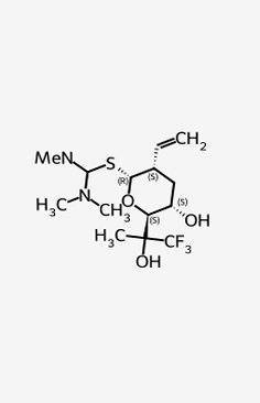 C=C[C@@H]1C[C@H](O)[C@@H](C(C)(O)C(F)(F)F)O[C@@H]1SC(NC)N(C)C